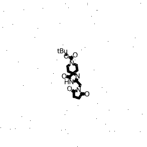 CC(C)(C)OC(=O)N1CCC2(CC1)N=C(CN1C(=O)CCC1=O)NC2=O